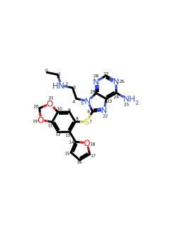 CCNCCn1c(Sc2cc3c(cc2-c2ccco2)OCO3)nc2c(N)ncnc21